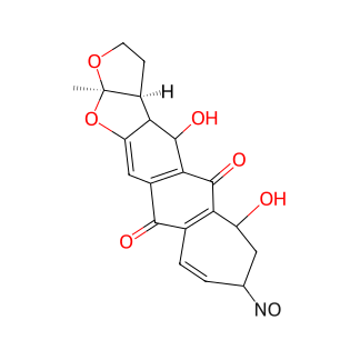 C[C@]12OCC[C@H]1C1C(=CC3=C(C(=O)C4=C(C=CC(N=O)CC4O)C3=O)C1O)O2